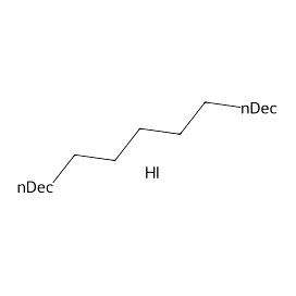 CCCCCCCCCCCCCCCCCCCCCCCCC.I